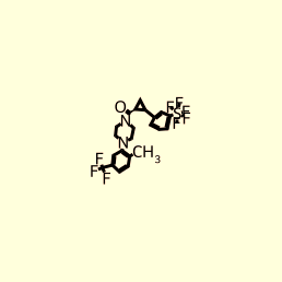 Cc1ccc(C(F)(F)F)cc1N1CCN(C(=O)[C@H]2CC2c2cccc(S(F)(F)(F)(F)F)c2)CC1